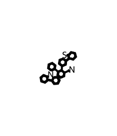 N#Cc1cccc(-c2ccccc2-n2c3ccccc3c3ccccc32)c1-c1ccc2sc3ccccc3c2c1